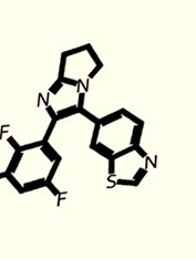 Fc1cc(F)c(F)c(-c2nc3n(c2-c2ccc4ncsc4c2)CCC3)c1